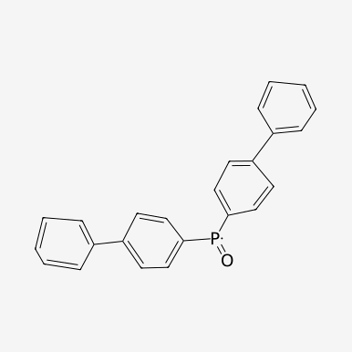 O=[P](c1ccc(-c2ccccc2)cc1)c1ccc(-c2ccccc2)cc1